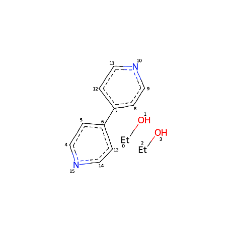 CCO.CCO.c1cc(-c2ccncc2)ccn1